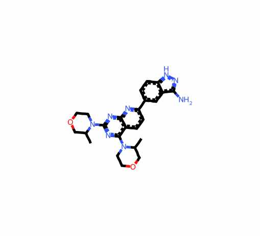 CC1COCCN1c1nc(N2CCOCC2C)c2ccc(-c3ccc4[nH]nc(N)c4c3)nc2n1